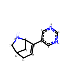 C1=C(c2cncnc2)C2CC(C1)CN2